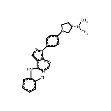 CN(C)[C@H]1CCN(c2ccc(-n3ncc4c(Nc5ccccc5Cl)ncnc43)cc2)C1